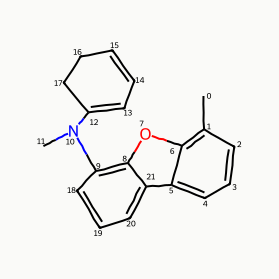 Cc1cccc2c1oc1c(N(C)C3=CC=CCC3)cccc12